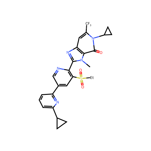 CCS(=O)(=O)c1cc(-c2cccc(C3CC3)n2)cnc1-c1nc2cc(C(F)(F)F)n(C3CC3)c(=O)c2n1C